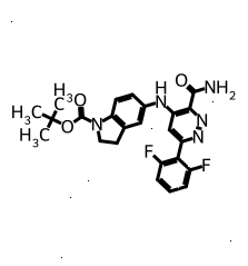 CC(C)(C)OC(=O)N1CCc2cc(Nc3cc(-c4c(F)cccc4F)nnc3C(N)=O)ccc21